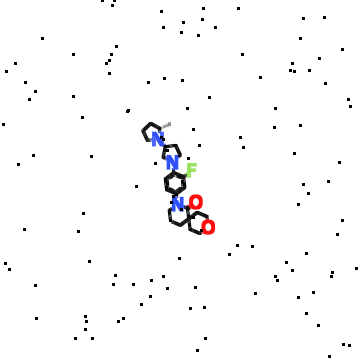 C[C@H]1CCCN1[C@H]1CCN(c2ccc(N3CCCC4(CCOCC4)C3=O)cc2F)C1